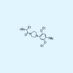 CCCCC(CC)C(=O)N1CCN(c2cc(OCC)c([N+]#N)cc2OCC)CC1